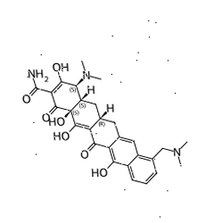 CN(C)Cc1cccc2c(O)c3c(cc12)C[C@H]1C[C@H]2[C@H](N(C)C)C(O)=C(C(N)=O)C(=O)[C@@]2(O)C(O)=C1C3=O